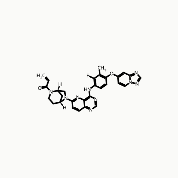 C=CC(=O)N1CC[C@@H]2C[C@H]1CN2c1ccc2ncnc(Nc3ccc(Oc4ccn5ncnc5c4)c(C)c3F)c2n1